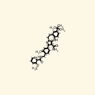 COc1cccnc1C(=O)NCc1ccc(-c2nn3c(c2C(N)=O)Nc2ccc(C(C)(C)C)cc2CC3)cc1C